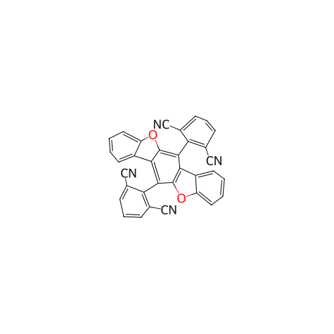 N#Cc1cccc(C#N)c1-c1c2oc3ccccc3c2c(-c2c(C#N)cccc2C#N)c2oc3ccccc3c12